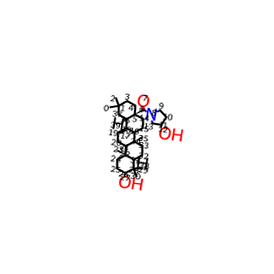 CC1(C)CC[C@]2(C(=O)N3CC[C@H](O)C3)CC[C@]3(C)C(=CCC4[C@@]5(C)CC[C@H](O)C(C)(C)[C@@H]5CC[C@]43C)[C@@H]2C1